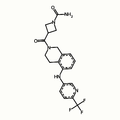 NC(=O)N1CC(C(=O)N2CCc3c(cccc3Nc3ccc(C(F)(F)F)nc3)C2)C1